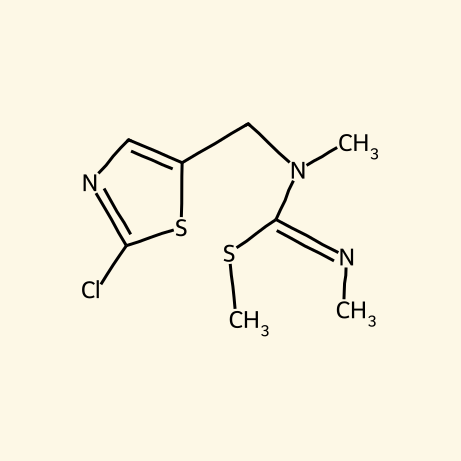 CN=C(SC)N(C)Cc1cnc(Cl)s1